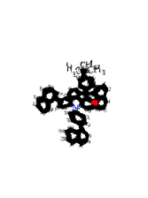 CC(C)(C)c1ccc(C2(c3cccc4ccccc34)c3ccccc3-c3c(N(c4ccc(-c5cccc6ccccc56)cc4)c4ccc(-c5cccc6ccccc56)cc4)cccc32)cc1